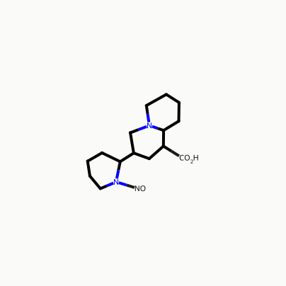 O=NN1CCCCC1C1CC(C(=O)O)C2CCCCN2C1